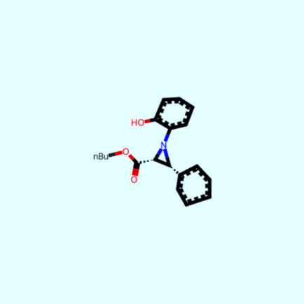 CCCCOC(=O)[C@H]1[C@@H](c2ccccc2)N1c1ccccc1O